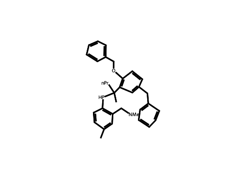 CCCC(C)(Pc1ccc(C)cc1CNC)c1cc(Cc2ccccc2)ccc1OCc1ccccc1